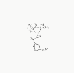 COc1cccc(C(=O)NC2CC(C)(C)NC(C)(C)C2)c1